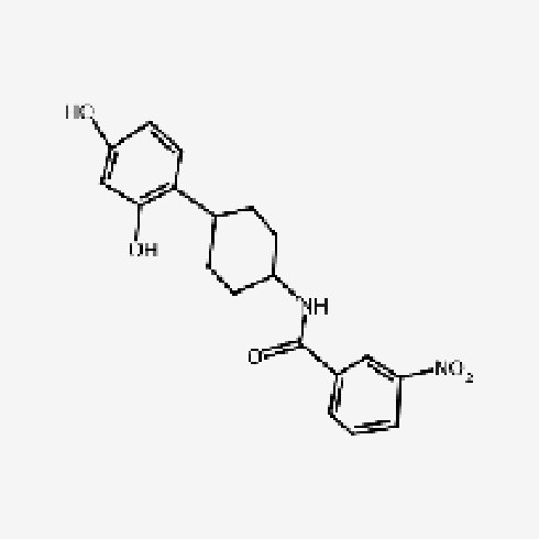 O=C(NC1CCC(c2ccc(O)cc2O)CC1)c1cccc([N+](=O)[O-])c1